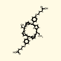 CCc1c2nc(c(-c3ccc(OCCCC(=O)O)cc3)c3ccc([nH]3)c(CC)c3nc(c(-c4ccc(OCCCC(=O)O)cc4)c4ccc1[nH]4)C=C3)C=C2